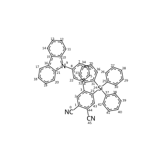 N#Cc1cc(-c2cccc(-n3c4ccccc4c4ccccc43)c2)c([Si](c2ccccc2)(c2ccccc2)c2ccccc2)cc1C#N